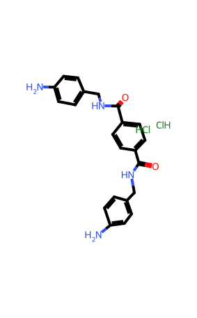 Cl.Cl.Nc1ccc(CNC(=O)c2ccc(C(=O)NCc3ccc(N)cc3)cc2)cc1